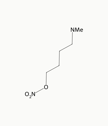 CNCCCCO[N+](=O)[O-]